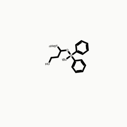 CCCCCCCC(CCO)O[Si](c1ccccc1)(c1ccccc1)C(C)(C)C